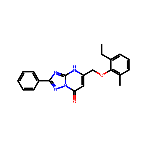 CCc1cccc(C)c1OCc1cc(=O)n2nc(-c3ccccc3)nc2[nH]1